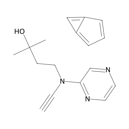 C#CN(CCC(C)(C)O)c1cnccn1.c1cc2cc-2c1